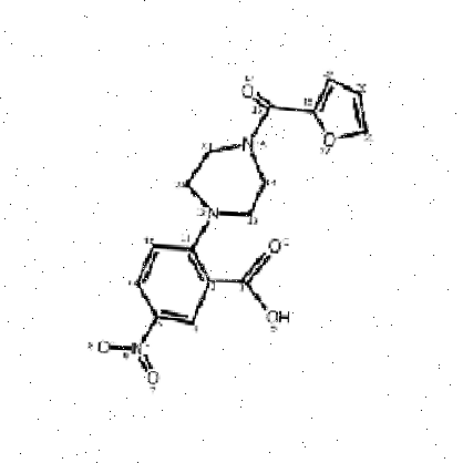 O=C(O)c1cc([N+](=O)[O-])ccc1N1CCN(C(=O)c2ccco2)CC1